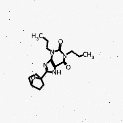 CCCn1c(=O)c2[nH]c(C34CCC(CC3)O4)nc2n(CCC)c1=O